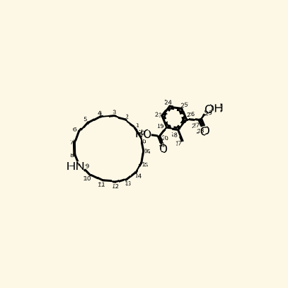 C1CCCCCCCCNCCCCCCC1.Cc1c(C(=O)O)cccc1C(=O)O